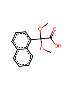 COC(OC)(C(=O)O)c1cccc2ccccc12